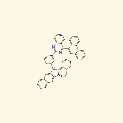 c1cc(-c2nc(-c3cc4ccccc4c4ccccc34)c3ccccc3n2)cc(-n2c3cc4ccccc4cc3c3ccc4ccccc4c32)c1